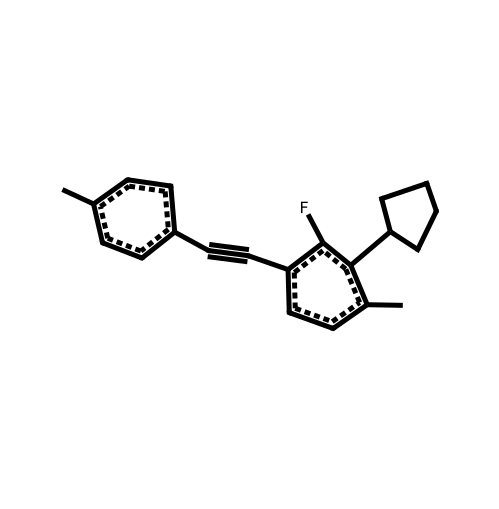 Cc1ccc(C#Cc2ccc(C)c(C3CCCC3)c2F)cc1